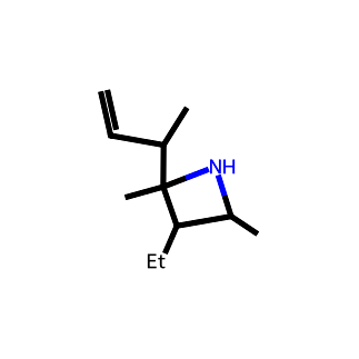 C=CC(C)C1(C)NC(C)C1CC